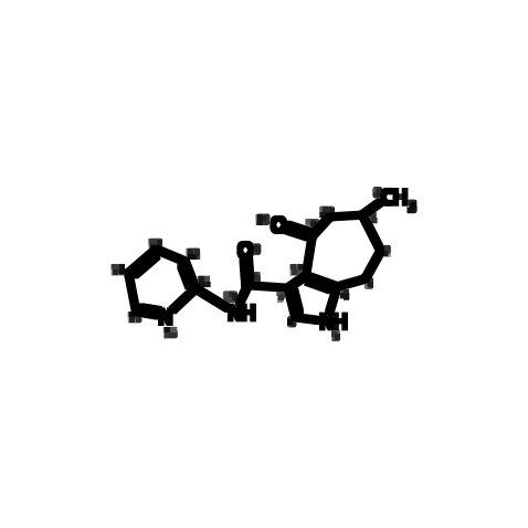 CC1CCc2[nH]cc(C(=O)Nc3ccccn3)c2C(=O)C1